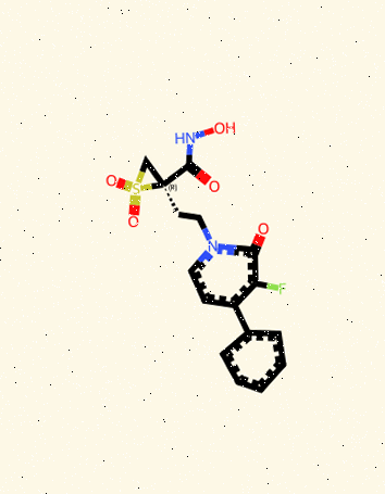 O=C(NO)[C@]1(CCn2ccc(-c3ccccc3)c(F)c2=O)CS1(=O)=O